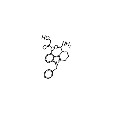 NC(=O)C1CCCc2c1c1c(OC(=O)CO)cccc1n2Cc1ccccc1